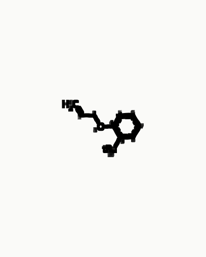 C=CCOc1[c]cccc1C(C)(C)C